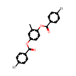 CCc1ccc(C(=O)Oc2ccc(OC(=O)c3ccc(CC)cc3)c(C)c2)cc1